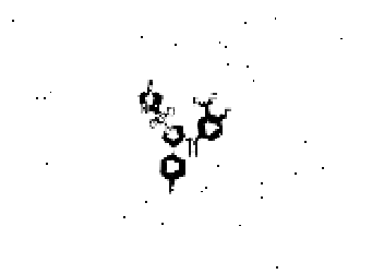 Cn1cnc(S(=O)(=O)N2C[C@@H](Nc3ccc(F)c(C(F)F)c3)[C@H](c3ccc(F)cc3)C2)c1